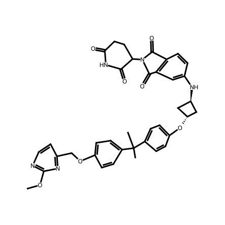 COc1nccc(COc2ccc(C(C)(C)c3ccc(O[C@H]4C[C@H](Nc5ccc6c(c5)C(=O)N(C5CCC(=O)NC5=O)C6=O)C4)cc3)cc2)n1